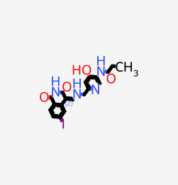 CCC(=O)Nc1cnc(CN/C=C2\C(=O)NC(=O)c3ccc(I)cc32)cc1O